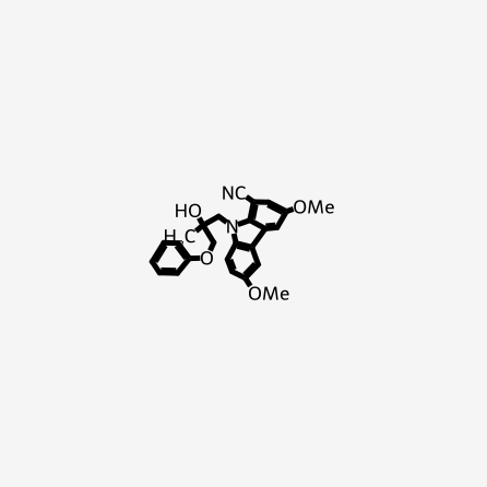 COc1ccc2c(c1)c1cc(OC)cc(C#N)c1n2CC(C)(O)COc1ccccc1